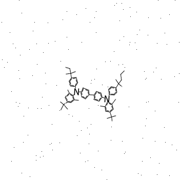 CCCC(C)(C)c1ccc(N(c2ccc(-c3ccc(N(c4ccc(C(C)(C)CC)cc4)c4c(C)cc(C(C)(C)C)cc4C)cc3)cc2)c2c(C)cc(C(C)(C)C)cc2C)cc1